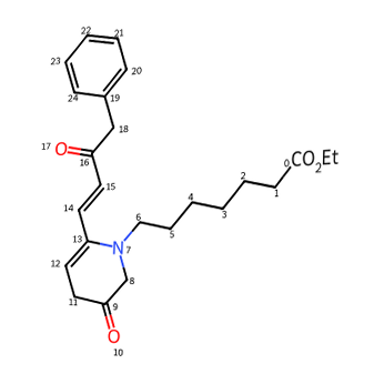 CCOC(=O)CCCCCCN1CC(=O)CC=C1C=CC(=O)Cc1ccccc1